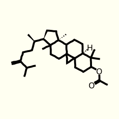 C=C(CC[C@@H](C)[C@H]1CC[C@@]2(C)C3CC[C@H]4C(C)(C)C(OC(C)=O)CCC45CC35CCC12C)C(C)C